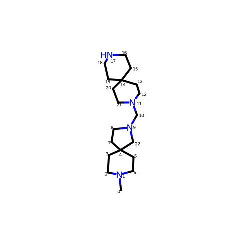 CN1CCC2(CC1)CCN(CN1CCC3(CCNCC3)CC1)C2